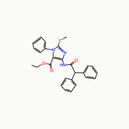 CCOC(=O)c1c(NC(=O)C(c2ccccc2)c2ccccc2)nc(SC)n1-c1ccccc1